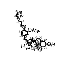 COc1cc(C=C2C[C@H]3[C@@H]4CC=C5C[C@@H](O)C[C@@H](O)[C@]5(C)[C@H]4CC[C@]3(C)C2)ccc1OCCCn1ccnc1